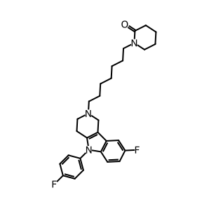 O=C1CCCCN1CCCCCCCN1CCc2c(c3cc(F)ccc3n2-c2ccc(F)cc2)C1